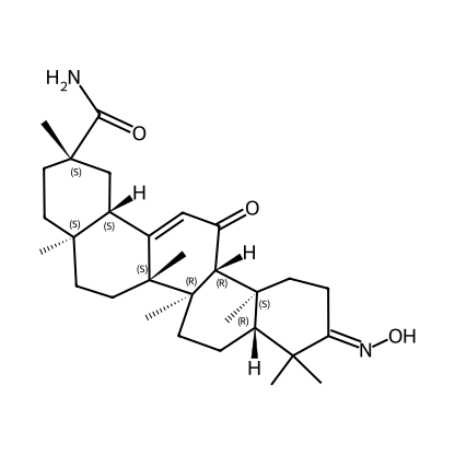 CC1(C)C(=NO)CC[C@]2(C)[C@H]3C(=O)C=C4[C@H]5C[C@@](C)(C(N)=O)CC[C@]5(C)CC[C@@]4(C)[C@]3(C)CC[C@@H]12